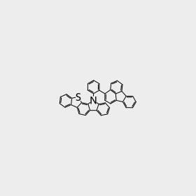 c1ccc2c(c1)-c1cccc3c(-c4ccccc4-n4c5ccccc5c5ccc6c7ccccc7sc6c54)ccc-2c13